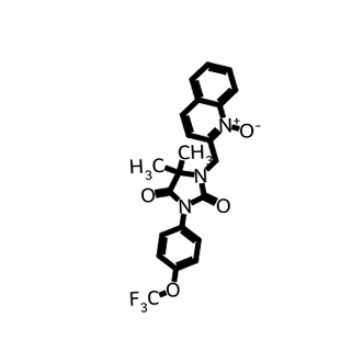 CC1(C)C(=O)N(c2ccc(OC(F)(F)F)cc2)C(=O)N1Cc1ccc2ccccc2[n+]1[O-]